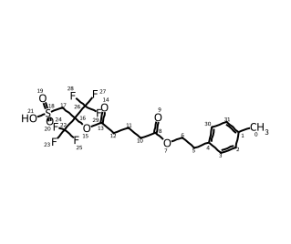 Cc1ccc(CCOC(=O)CCCC(=O)OC(CS(=O)(=O)O)(C(F)(F)F)C(F)(F)F)cc1